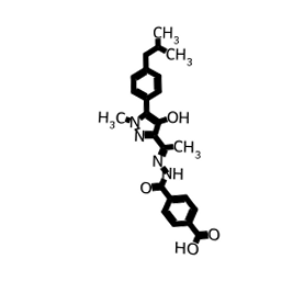 C/C(=N\NC(=O)c1ccc(C(=O)O)cc1)c1nn(C)c(-c2ccc(CC(C)C)cc2)c1O